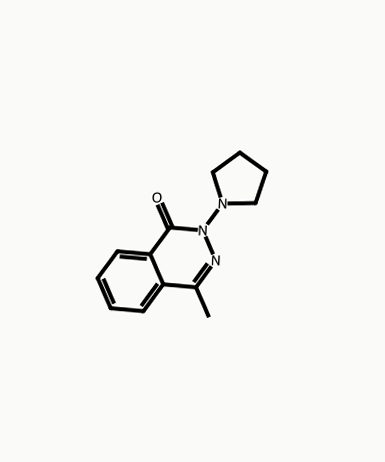 Cc1nn(N2CCCC2)c(=O)c2ccccc12